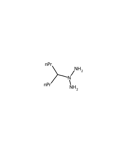 CCCC(CCC)N(N)N